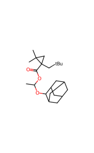 CC(OC(=O)C1(CC(C)(C)C)CC1(C)C)OC1C2CC3CC(C2)CC1C3